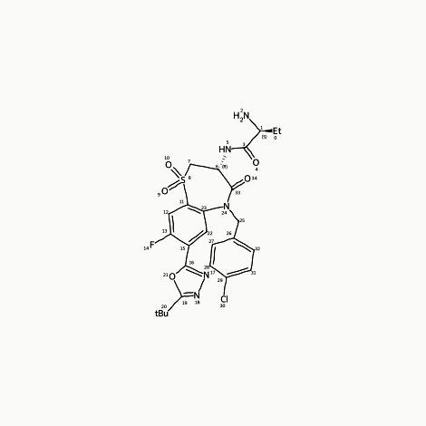 CC[C@H](N)C(=O)N[C@H]1CS(=O)(=O)c2cc(F)c(-c3nnc(C(C)(C)C)o3)cc2N(Cc2ccc(Cl)cc2)C1=O